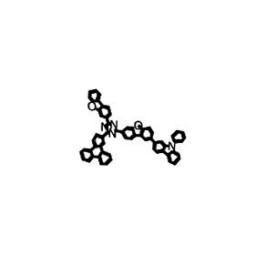 c1ccc(-n2c3ccccc3c3ccc(-c4ccc5oc6cc(-c7nc(-c8ccc9c(c8)oc8ccccc89)nc(-c8ccc9c%10ccccc%10c%10ccccc%10c9c8)n7)ccc6c5c4)cc32)cc1